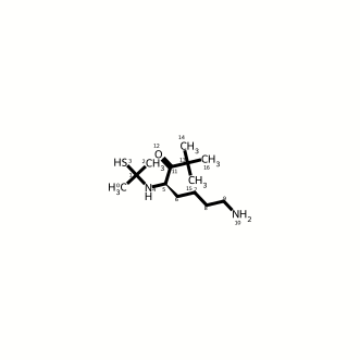 CC(C)(S)N[C@H](CCCCN)C(=O)C(C)(C)C